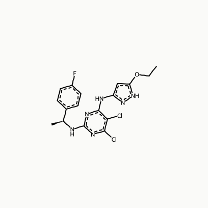 CCOc1cc(Nc2nc(N[C@@H](C)c3ccc(F)cc3)nc(Cl)c2Cl)n[nH]1